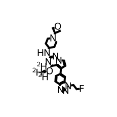 [2H]C([2H])([2H])Oc1nc(NC2CCN(C3COC3)CC2)nn2ccc(-c3ccc4nnn(CCF)c4c3)c12